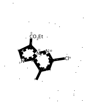 CCOC(=O)c1cnc2c(C)cc(Cl)nn12